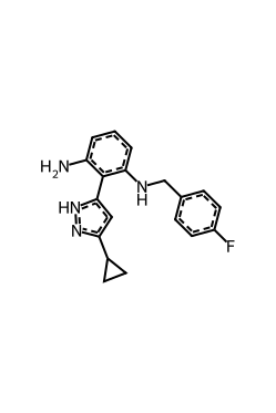 Nc1cccc(NCc2ccc(F)cc2)c1-c1cc(C2CC2)n[nH]1